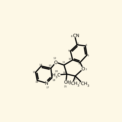 CC1(C)Oc2ccc(C#N)cc2C(Oc2cccnc2)C1(C)O